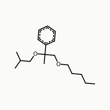 CCCCCOCC(C)(OCC(C)C)c1ccccc1